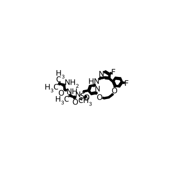 CC(C)[C@H](N)C(=O)N[C@@H](C)C(=O)N=S(C)(=O)Cc1cc2nc(c1)OCCCOc1cc(F)ccc1-c1cc(ncc1F)N2